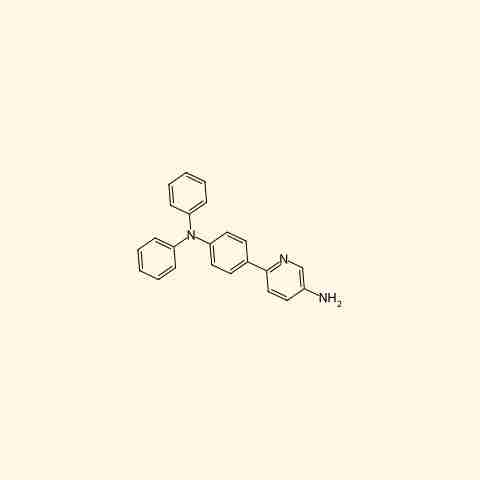 Nc1ccc(-c2ccc(N(c3ccccc3)c3ccccc3)cc2)nc1